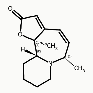 C[C@H]1C=CC2=CC(=O)O[C@]2(C)[C@H]2CCCCN12